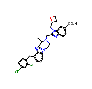 CC1c2nc3c(Cc4ccc(Cl)cc4F)cccc3n2CCN1Cc1nc2ccc(C(=O)O)cc2n1CC1CCO1